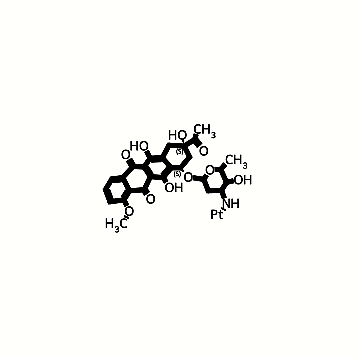 COc1cccc2c1C(=O)c1c(O)c3c(c(O)c1C2=O)C[C@@](O)(C(C)=O)C[C@@H]3OC1CC([NH][Pt])C(O)C(C)O1